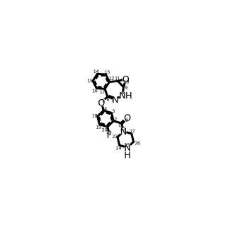 O=C(c1cc(OC2=NNC3OC3c3ccccc32)ccc1F)N1CCNCC1